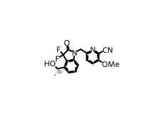 COc1ccc(CN2C(=O)C(F)(F)c3c([C@H](C)O)cccc32)nc1C#N